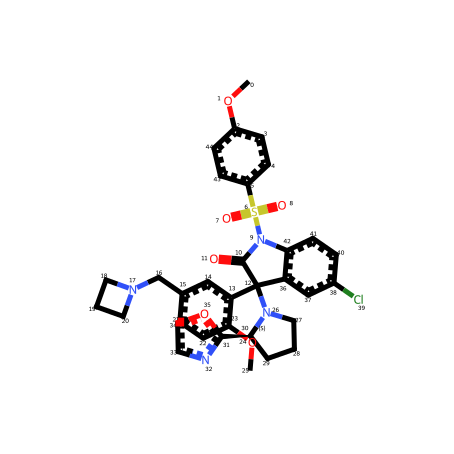 COc1ccc(S(=O)(=O)N2C(=O)C(c3cc(CN4CCC4)ccc3OC)(N3CCC[C@H]3c3ncco3)c3cc(Cl)ccc32)cc1